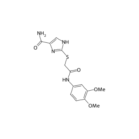 COc1ccc(NC(=O)CSc2nc(C(N)=O)c[nH]2)cc1OC